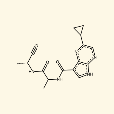 CC(NC(=O)c1c[nH]c2ncc(C3CC3)nc12)C(=O)N[C@H](C)C#N